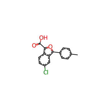 Cc1ccc(-c2oc(C(=O)O)c3ccc(Cl)cc23)cc1